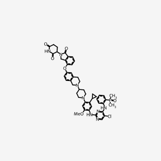 COc1cc(N2CCC(N3CCc4cc(Oc5cccc6c5CN(C5CCC(=O)NC5=O)C6=O)ccc4C3)CC2)c(C2CC2)cc1Nc1ncc(Cl)c(Nc2ccccc2P(C)(C)=O)n1